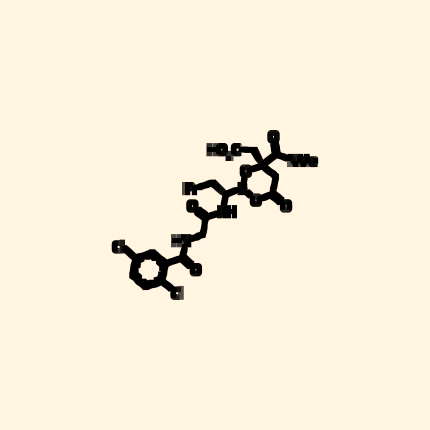 CNC(=O)[C@]1(CC(=O)O)CC(=O)OB([C@H](CC(C)C)NC(=O)CNC(=O)c2cc(Cl)ccc2Cl)O1